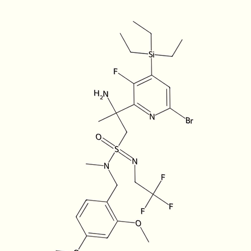 CC[Si](CC)(CC)c1cc(Br)nc(C(C)(N)CS(=O)(=NCC(F)(F)F)N(C)Cc2ccc(OC)cc2OC)c1F